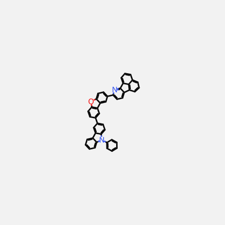 c1ccc(-n2c3ccccc3c3cc(-c4ccc5oc6ccc(-c7ccc8c(n7)-c7cccc9cccc-8c79)cc6c5c4)ccc32)cc1